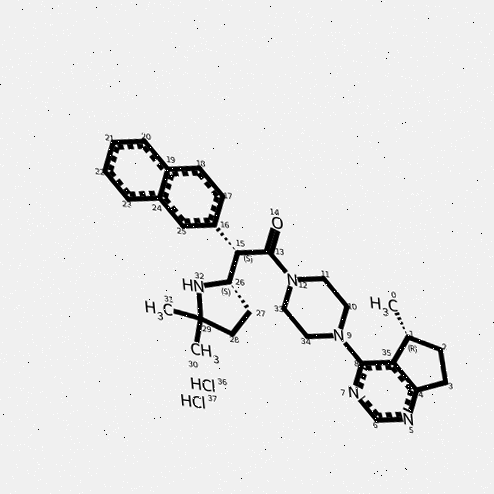 C[C@@H]1CCc2ncnc(N3CCN(C(=O)[C@@H](c4ccc5ccccc5c4)[C@@H]4CCC(C)(C)N4)CC3)c21.Cl.Cl